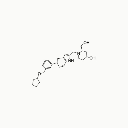 OC[C@H]1C[C@@H](O)CCN1Cc1cc2cc(-c3cccc(COC4CCCC4)c3)ccc2[nH]1